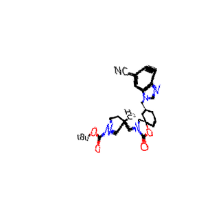 CC1(CN2C[C@@]3(CCC[C@H](Cn4cnc5ccc(C#N)cc54)C3)OC2=O)CCN(C(=O)OC(C)(C)C)C1